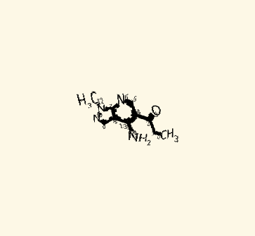 CCC(=O)c1cnc2c(cnn2C)c1N